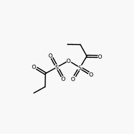 CCC(=O)S(=O)(=O)OS(=O)(=O)C(=O)CC